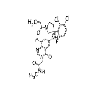 C=CC(=O)N1CC[C@](Nc2cc(F)c3ncn(CC(=O)NC)c(=O)c3c2)(c2c(F)ccc(Cl)c2Cl)C1